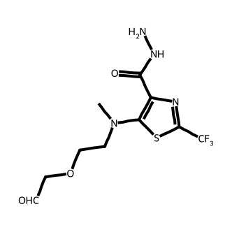 CN(CCOCC=O)c1sc(C(F)(F)F)nc1C(=O)NN